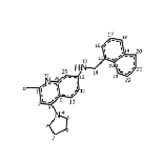 Cc1cc(N2CCCC2)c2ccc(NCc3cccc4ccccc34)cc2n1